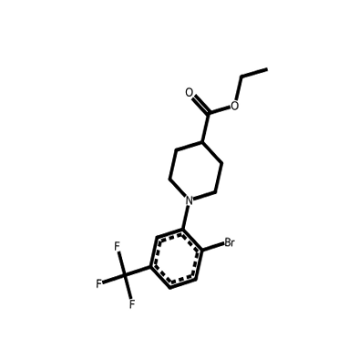 CCOC(=O)C1CCN(c2cc(C(F)(F)F)ccc2Br)CC1